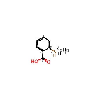 O=C(O)c1ccccc1S.[Hg].[NaH]